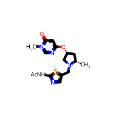 CC(=O)Nc1ncc(CN2C[C@H](Oc3cc(=O)n(C)cn3)C[C@@H]2C)s1